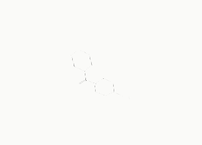 CC1CCN(C(=O)C2CCOCC2)CC1